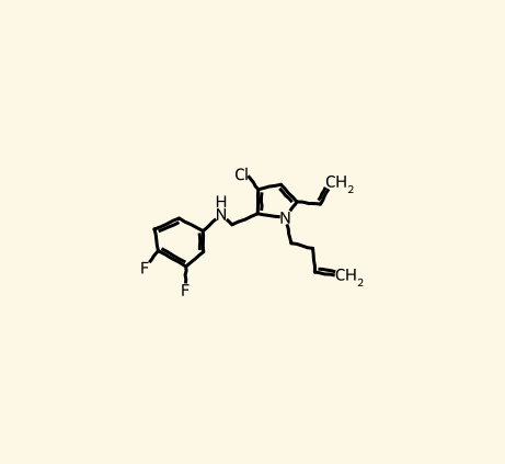 C=CCCn1c(C=C)cc(Cl)c1CNc1ccc(F)c(F)c1